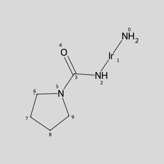 [NH2][Ir][NH]C(=O)N1[CH]CCC1